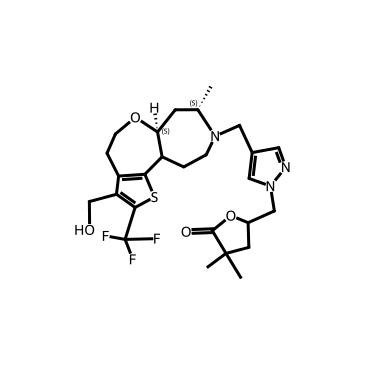 C[C@H]1C[C@@H]2OCCc3c(sc(C(F)(F)F)c3CO)C2CCN1Cc1cnn(CC2CC(C)(C)C(=O)O2)c1